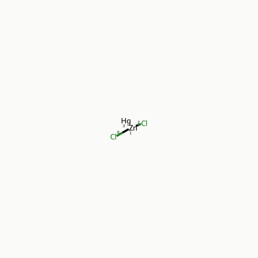 [Cl][Zn][Cl].[Hg]